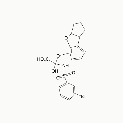 O=C(O)C(O)(NS(=O)(=O)c1cccc(Br)c1)Oc1cccc2c1OC1CCCC21